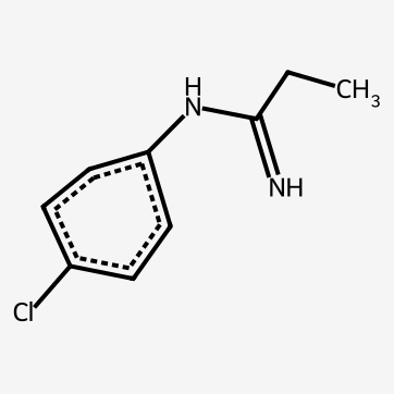 CCC(=N)Nc1ccc(Cl)cc1